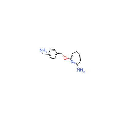 NCc1ccc(COC2=CCC=CC(N)=N2)cc1